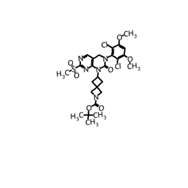 COc1cc(OC)c(Cl)c(N2Cc3cnc(S(C)(=O)=O)nc3N(C3CC4(C3)CN(C(=O)OC(C)(C)C)C4)C2=O)c1Cl